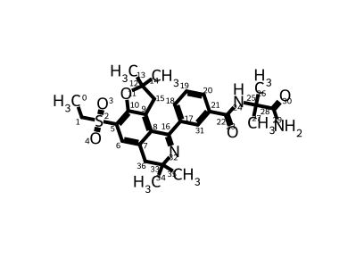 CCS(=O)(=O)c1cc2c(c3c1OC(C)(C)C3)C(c1cccc(C(=O)NC(C)(C)C(N)=O)c1)=NC(C)(C)C2